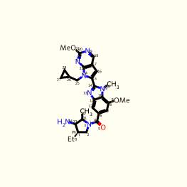 CC[C@@H]1CN(C(=O)c2cc(OC)c3c(c2)nc(-c2cc4cnc(OC)nc4n2CC2CC2)n3C)C(C)C1N